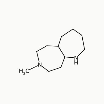 CN1CCC2CCCCNC2CC1